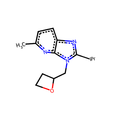 Cc1ccc2nc(C(C)C)n(CC3CCO3)c2n1